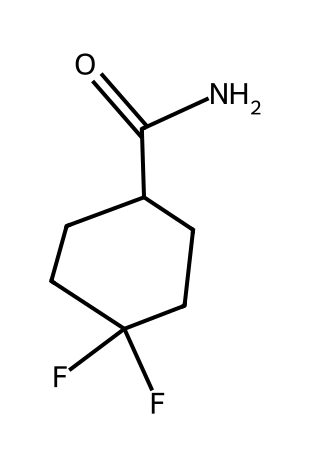 NC(=O)C1CCC(F)(F)CC1